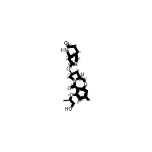 Cc1cc2c(c(O[C@H](C)CO)c1F)C(=O)N1C[C@@H](Oc3cc4c(cn3)CCC(=O)N4)C[C@@H]1CO2